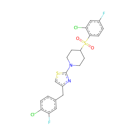 O=S(=O)(c1ccc(F)cc1Cl)C1CCN(c2nc(Cc3ccc(Cl)c(F)c3)cs2)CC1